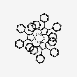 c1ccc(C2=C(c3ccccc3)[Si]3(O[Si]4(O[Si]5(O3)C(c3ccccc3)=C(c3ccccc3)C(c3ccccc3)=C5c3ccccc3)C(c3ccccc3)=C(c3ccccc3)C(c3ccccc3)=C4c3ccccc3)C(c3ccccc3)=C2c2ccccc2)cc1